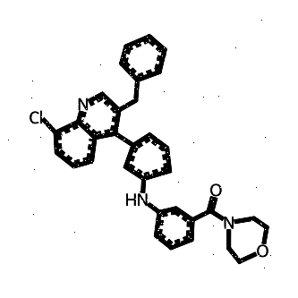 O=C(c1cccc(Nc2cccc(-c3c(Cc4ccccc4)cnc4c(Cl)cccc34)c2)c1)N1CCOCC1